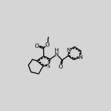 COC(=O)c1c(NC(=O)c2cnccn2)sc2c1CCCC2